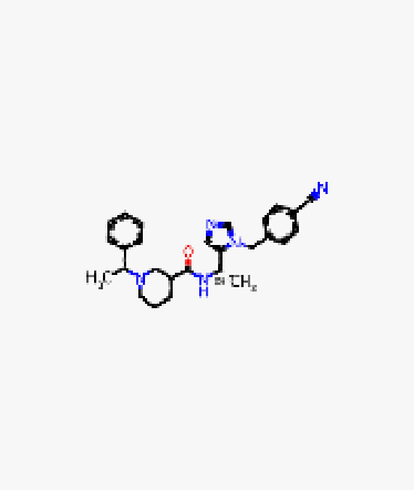 CC(c1ccccc1)N1CCCC(C(=O)N[C@@H](C)c2cncn2Cc2ccc(C#N)cc2)C1